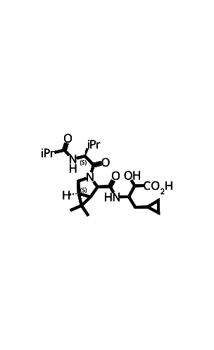 CC(C)C(=O)N[C@H](C(=O)N1C[C@H]2C(C1C(=O)NC(CC1CC1)C(O)C(=O)O)C2(C)C)C(C)C